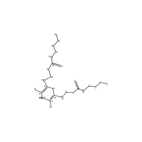 CCCCOC(=O)CCOC1=C(C)NC(C)=C(OCCC(=O)OCCCC)C1